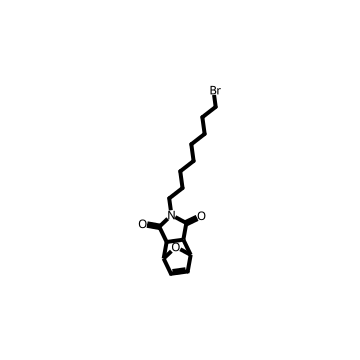 O=C1C2C3C=CC(O3)C2C(=O)N1CCCCCCCCBr